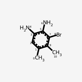 Cc1cc(N)c(N)c(Br)c1C